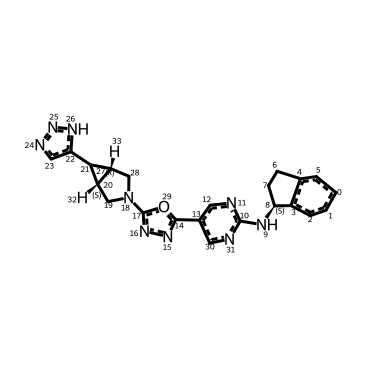 c1ccc2c(c1)CC[C@@H]2Nc1ncc(-c2nnc(N3C[C@@H]4C(c5cnn[nH]5)[C@@H]4C3)o2)cn1